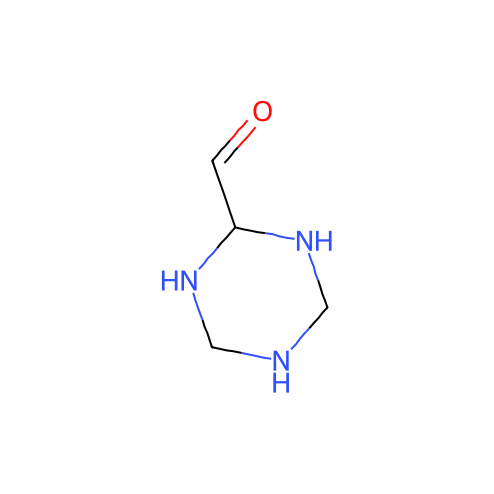 O=CC1NCNCN1